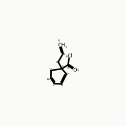 C=CCC1(C(=O)Cl)C=CC=CC1